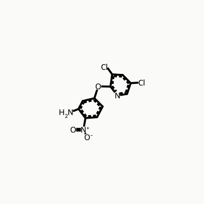 Nc1cc(Oc2ncc(Cl)cc2Cl)ccc1[N+](=O)[O-]